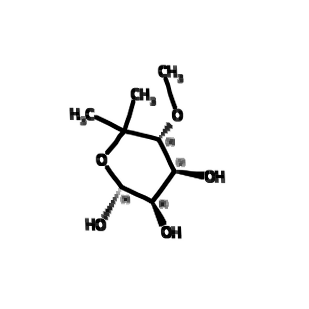 CO[C@@H]1[C@@H](O)[C@@H](O)[C@H](O)OC1(C)C